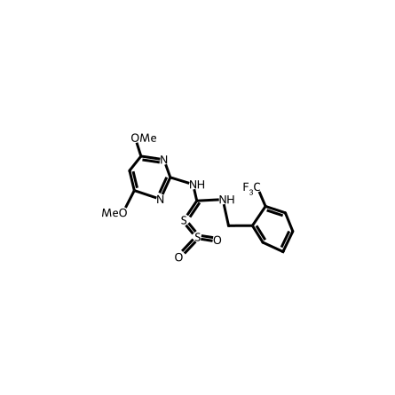 COc1cc(OC)nc(NC(NCc2ccccc2C(F)(F)F)=S=S(=O)=O)n1